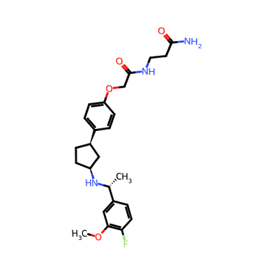 COc1cc([C@@H](C)N[C@H]2CC[C@@H](c3ccc(OCC(=O)NCCC(N)=O)cc3)C2)ccc1F